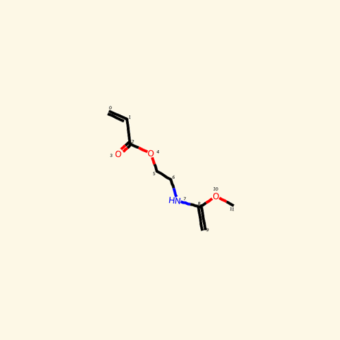 C=CC(=O)OCCNC(=C)OC